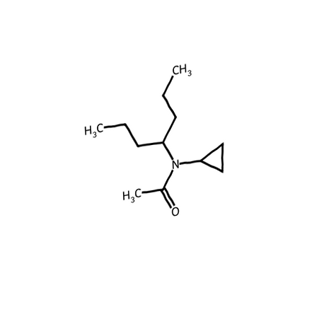 CCCC(CCC)N(C(C)=O)C1CC1